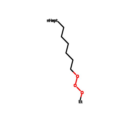 CCCCCCCCCCCCCOOOCC